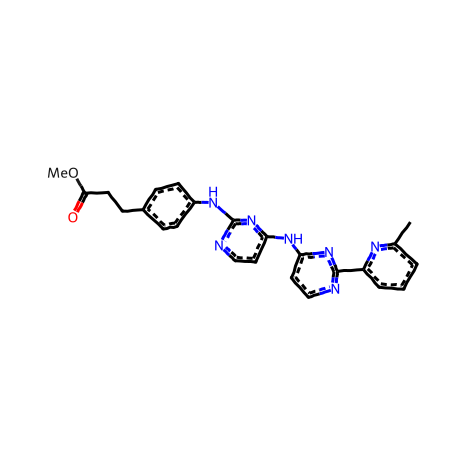 COC(=O)CCc1ccc(Nc2nccc(Nc3ccnc(-c4cccc(C)n4)n3)n2)cc1